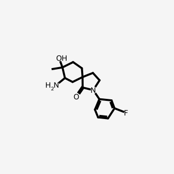 CC1(O)CCC2(CCN(c3cccc(F)c3)C2=O)CC1N